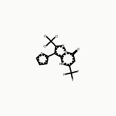 O=c1cc(C(F)(F)F)[nH]c2c(-c3cccs3)c(C(Cl)(Cl)Cl)nn12